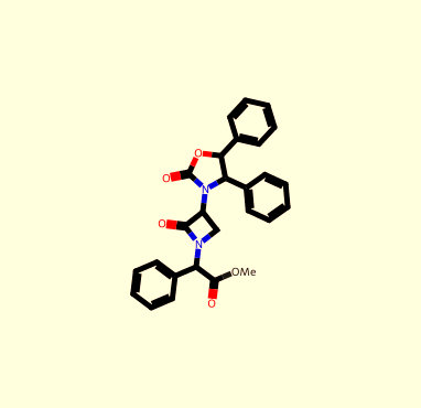 COC(=O)C(c1ccccc1)N1CC(N2C(=O)OC(c3ccccc3)C2c2ccccc2)C1=O